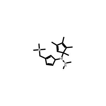 CC1=C[C](C)([Hf]([CH]2C=CC(C[Si](C)(C)C)=C2)[SiH](C)C)C(C)=C1C